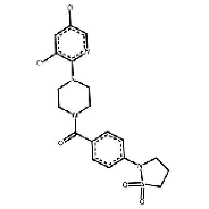 O=C(c1ccc(N2CCCS2(=O)=O)cc1)N1CCN(c2ncc(Cl)cc2Cl)CC1